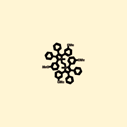 COc1cccc(C2=C(c3ccccc3)C(c3ccccc3)=C(c3cccc(OC)c3)[Si]2(C)CC[Si]2(C)C(c3cccc(OC)c3)=C(c3ccccc3)C(c3ccccc3)=C2c2cccc(OC)c2)c1